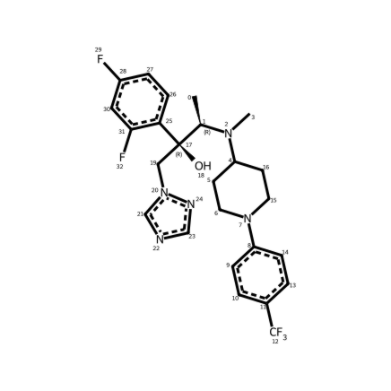 C[C@@H](N(C)C1CCN(c2ccc(C(F)(F)F)cc2)CC1)[C@](O)(Cn1cncn1)c1ccc(F)cc1F